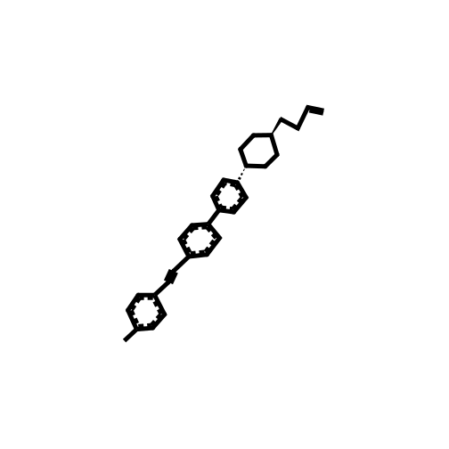 C=CCC[C@H]1CC[C@H](c2ccc(-c3ccc(C#Cc4ccc(C)cc4)cc3)cc2)CC1